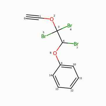 C#COC(Br)(Br)C(Br)Oc1ccccc1